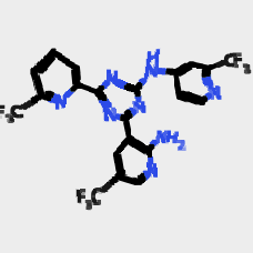 Nc1ncc(C(F)(F)F)cc1-c1nc(Nc2ccnc(C(F)(F)F)c2)nc(-c2cccc(C(F)(F)F)n2)n1